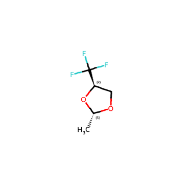 C[C@H]1OC[C@H](C(F)(F)F)O1